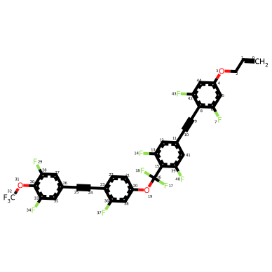 C=CCOc1cc(F)c(C#Cc2cc(F)c(C(F)(F)Oc3ccc(C#Cc4cc(F)c(OC(F)(F)F)c(F)c4)c(F)c3)c(F)c2)c(F)c1